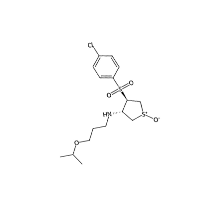 CC(C)OCCCN[C@H]1C[S+]([O-])C[C@@H]1S(=O)(=O)c1ccc(Cl)cc1